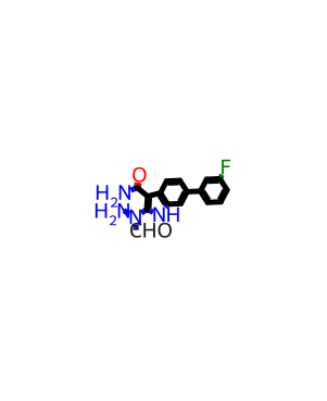 NC(=O)c1c(N(N)C=O)[nH]c2cc(-c3cccc(F)c3)ccc12